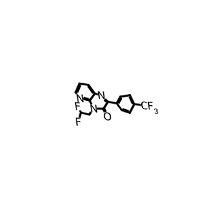 O=c1c(-c2ccc(C(F)(F)F)cc2)nc2cccnc2n1CC(F)F